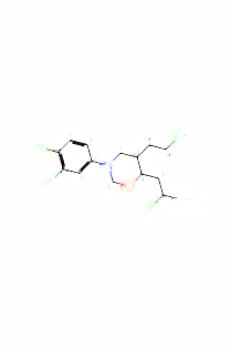 CC(F)CC1OCN(c2ccc(F)c(F)c2)CC1CCF